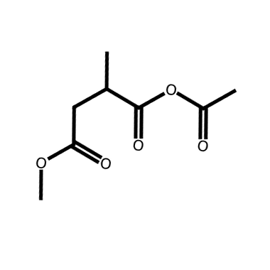 COC(=O)CC(C)C(=O)OC(C)=O